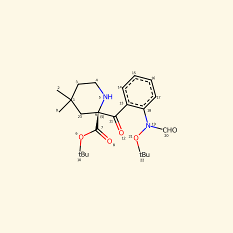 CC1(C)CCN[C@](C(=O)OC(C)(C)C)(C(=O)c2ccccc2N(C=O)OC(C)(C)C)C1